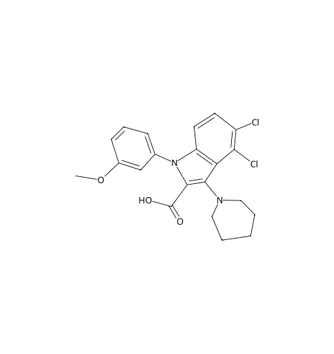 COc1cccc(-n2c(C(=O)O)c(N3CCCCC3)c3c(Cl)c(Cl)ccc32)c1